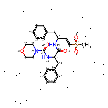 CS(=O)(=O)C=CC(Cc1ccccc1)NC(=O)C(Cc1ccccc1)NC(=O)N1CCOCC1